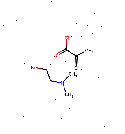 C=C(C)C(=O)O.CN(C)CCBr